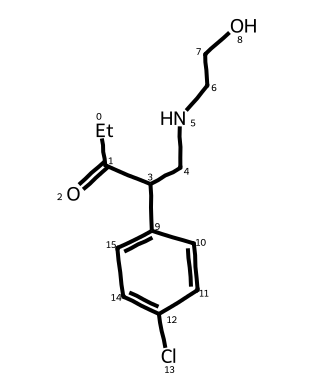 CCC(=O)C(CNCCO)c1ccc(Cl)cc1